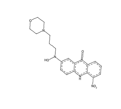 O=c1c2cc(N(O)CCCN3CCOCC3)ccc2[nH]c2c([N+](=O)[O-])cccc12